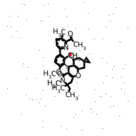 CCC1(C)CC2=C(C(=O)N1C)[C@@H](c1c(OC)ccc(-c3ccc(C)c(C(C)=O)n3)c1C)C1=C(CC3(CC3)CC1=O)O2